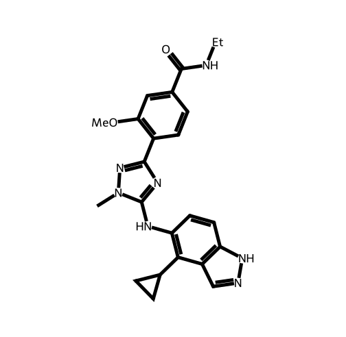 CCNC(=O)c1ccc(-c2nc(Nc3ccc4[nH]ncc4c3C3CC3)n(C)n2)c(OC)c1